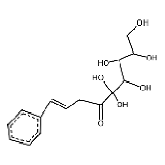 O=C(CC=Cc1ccccc1)C(O)(O)C(O)C(O)C(O)CO